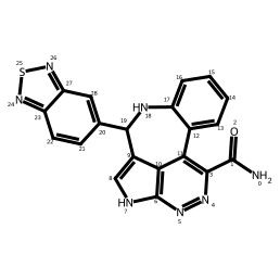 NC(=O)c1nnc2[nH]cc3c2c1-c1ccccc1NC3c1ccc2nsnc2c1